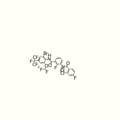 CCN(C(=O)c1ccc(F)cc1Cl)c1cccc(C(=O)Nc2c(Br)cc(C(F)(C(F)(F)F)C(F)(F)F)cc2OC(F)F)c1F